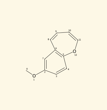 COc1ccc2c(c1)C=CC=CO2